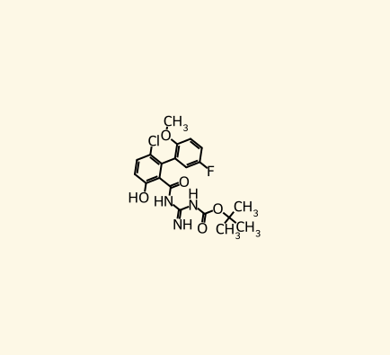 COc1ccc(F)cc1-c1c(Cl)ccc(O)c1C(=O)NC(=N)NC(=O)OC(C)(C)C